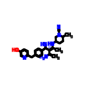 C=C(N)/C(C(=N)c1ccc(Cc2ccc(O)cn2)cc1)=C(\C)NC1CCC(C)N(C#N)C1